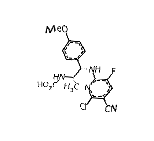 COc1ccc([C@H](Nc2nc(Cl)c(C#N)cc2F)[C@H](C)NC(=O)O)cc1